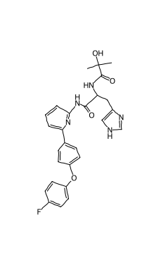 CC(C)(O)C(=O)NC(Cc1c[nH]cn1)C(=O)Nc1cccc(-c2ccc(Oc3ccc(F)cc3)cc2)n1